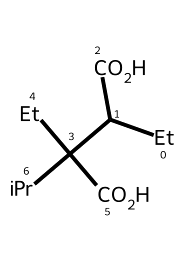 CCC(C(=O)O)C(CC)(C(=O)O)C(C)C